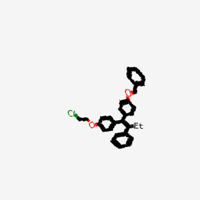 CCC(=C(c1ccc(OCCCl)cc1)c1ccc(OCc2ccccc2)cc1)c1ccccc1